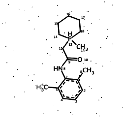 Cc1cccc(C)c1NC(=O)C[PH]1(C)CCCCC1